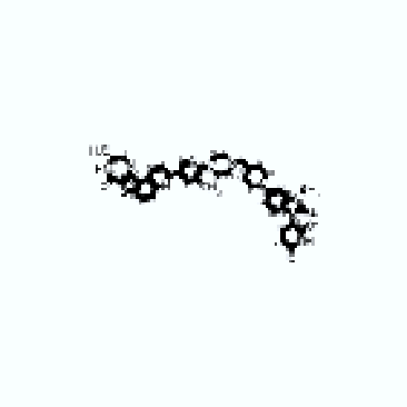 Cc1cc(-c2ccc3c(ccc4sc5c(c43)NC[C@@H](C)NC5=O)n2)cnc1N1CCN(CC2CCN(c3ccc4c(c3)n(C)c(=O)n4C3CCC(=O)NC3=O)CC2)CC1